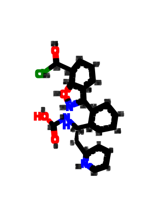 O=C(O)N[C@@H](Cc1ccccn1)c1ccccc1-c1noc2c(C(=O)Cl)cccc12